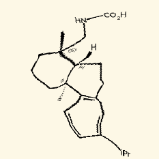 CC(C)c1ccc2c(c1)CC[C@H]1[C@@](C)(CNC(=O)O)CCC[C@]21C